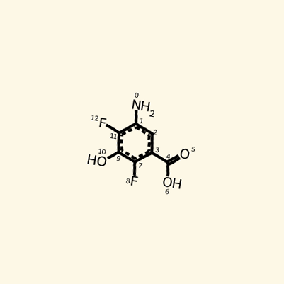 Nc1cc(C(=O)O)c(F)c(O)c1F